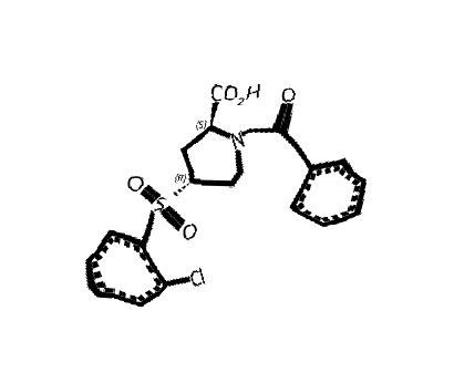 O=C(O)[C@@H]1C[C@@H](S(=O)(=O)c2ccccc2Cl)CN1C(=O)c1ccccc1